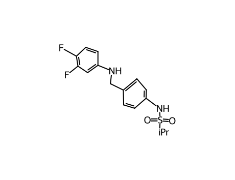 CC(C)S(=O)(=O)Nc1ccc(CNc2ccc(F)c(F)c2)cc1